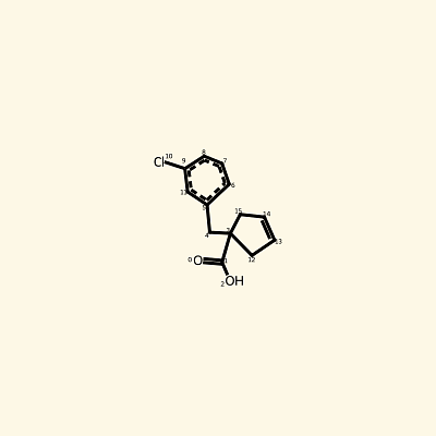 O=C(O)C1(Cc2cccc(Cl)c2)CC=CC1